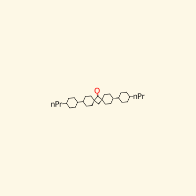 CCCC1CCC(C2CC[C@]3(CC2)C[C@@]2(CC[C@H](C4CCC(CCC)CC4)CC2)C3=O)CC1